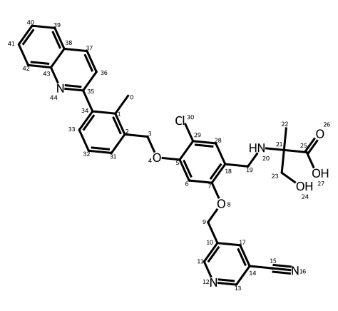 Cc1c(COc2cc(OCc3cncc(C#N)c3)c(CNC(C)(CO)C(=O)O)cc2Cl)cccc1-c1ccc2ccccc2n1